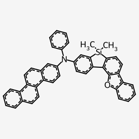 C[Si]1(C)c2cc(N(c3ccccc3)c3ccc4c(ccc5c6ccccc6ccc45)c3)ccc2-c2c1ccc1c2oc2ccccc21